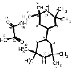 CC1(C)CC(C2CC(C)(C)NC(C)(C)C2)CC(C)(C)N1.O=C(O)C(=O)O